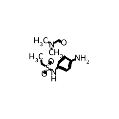 CCS(=O)(=O)Nc1ccc(N)cc1.CN(C)C=O